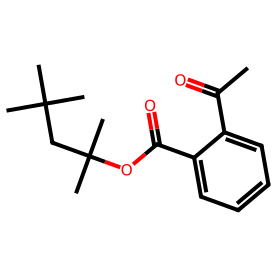 CC(=O)c1ccccc1C(=O)OC(C)(C)CC(C)(C)C